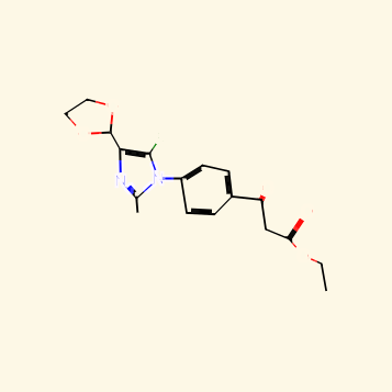 CCOC(=O)CC(=O)c1ccc(-n2c(C)nc(C3OCCO3)c2Cl)cc1